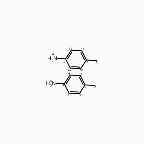 Cc1ccc(N)cc1.Cc1ccc(N)cc1